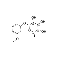 COc1cc[c]c(OC2O[C@H](C)[C@@H](O)[C@H](O)[C@@H]2O)c1